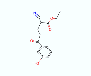 CCOC(=O)C(C#N)CCC(=O)c1cccc(OC)c1